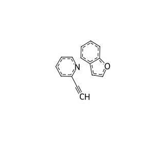 C#Cc1ccccn1.c1ccc2occc2c1